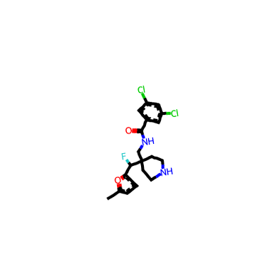 Cc1ccc(C(F)C2(CNC(=O)c3cc(Cl)cc(Cl)c3)CCNCC2)o1